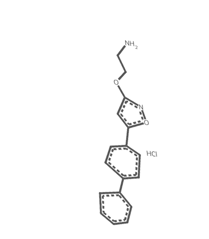 Cl.NCCOc1cc(-c2ccc(-c3ccccc3)cc2)on1